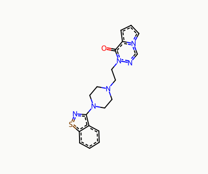 O=c1c2cccn2cnn1CCN1CCN(c2nsc3ccccc23)CC1